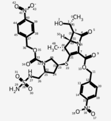 C[C@@H](O)[C@H]1C(=O)N2C(C(=O)OCc3ccc([N+](=O)[O-])cc3)=C(S[C@H]3C[C@@H](CNS(N)(=O)=O)N(C(=O)OCc4ccc([N+](=O)[O-])cc4)C3)[C@H](C)[C@H]12